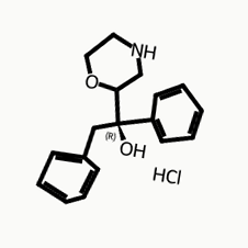 Cl.O[C@](Cc1ccccc1)(c1ccccc1)C1CNCCO1